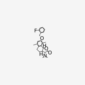 Cc1cc(OCc2ccccc2F)c(C)c2c1CC[C@H]1C(N(C)C)C(=O)O[C@@H]21